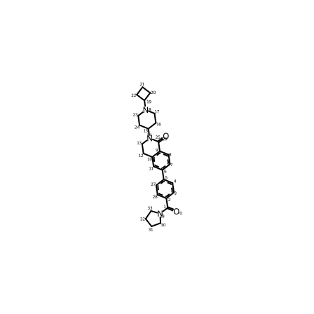 O=C(c1ccc(-c2ccc3c(c2)CCN(C2CCN(C4CCC4)CC2)C3=O)cc1)N1CCCC1